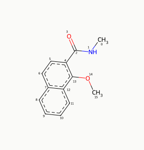 CNC(=O)c1ccc2ccccc2c1OC